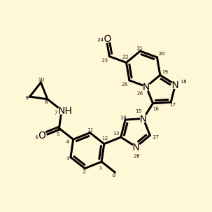 Cc1ccc(C(=O)NC2CC2)cc1-c1cn(-c2cnc3ccc(C=O)cn23)cn1